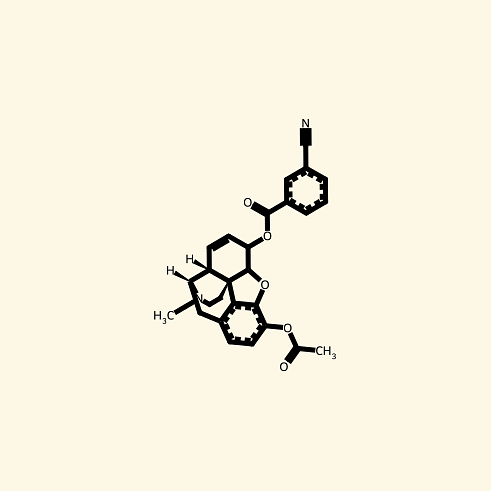 CC(=O)Oc1ccc2c3c1OC1C(OC(=O)c4cccc(C#N)c4)C=C[C@H]4[C@@H](C2)N(C)CC[C@]314